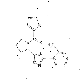 Cc1ccccc1-c1noc(C2CCCN2C(=O)c2cccs2)n1